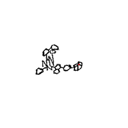 c1ccc(-c2nc(-c3ccc(-c4ccc(C56CC7CC(CC(C7)C5)C6)cc4)c4ccccc34)nc(-c3cccc4c3oc3ccccc34)n2)cc1